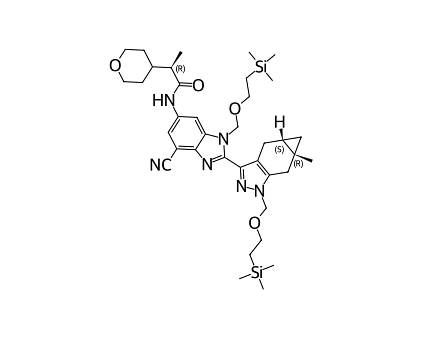 C[C@@H](C(=O)Nc1cc(C#N)c2nc(-c3nn(COCC[Si](C)(C)C)c4c3C[C@@H]3C[C@]3(C)C4)n(COCC[Si](C)(C)C)c2c1)C1CCOCC1